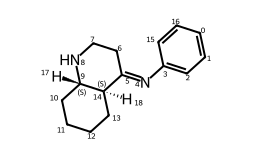 c1ccc(N=C2CCN[C@H]3CCCC[C@H]23)cc1